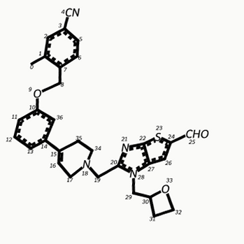 Cc1cc(C#N)ccc1COc1cccc(C2=CCN(Cc3nc4sc(C=O)cc4n3CC3CCO3)CC2)c1